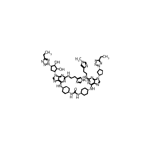 CCc1nnn([C@@H]2CC[C@H](n3cnc4c(N[C@H]5CC[C@H](NC(=O)N[C@H]6CC[C@H](Nc7nc(NCCc8cn(C)cn8)nc8c7ncn8[C@@H]7C[C@H](n8nnc(CC)n8)[C@@H](O)[C@H]7O)CC6)CC5)nc(NCCc5cn(C)cn5)nc43)C2)n1